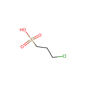 O=S(=O)(O)[CH]CCCl